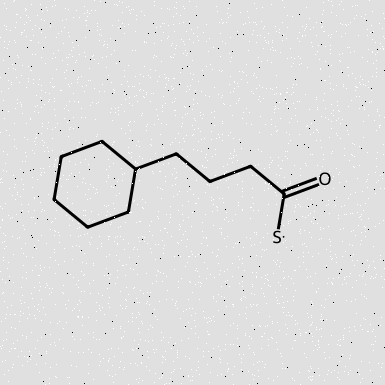 O=C([S])CCCC1CCCCC1